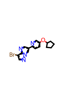 Brc1cnn2cc(-c3ccc(OC4CCCC4)cn3)cnc12